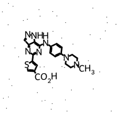 CN1CCN(c2ccc(Nc3nc(-c4cc(C(=O)O)cs4)nc4cn[nH]c34)cc2)CC1